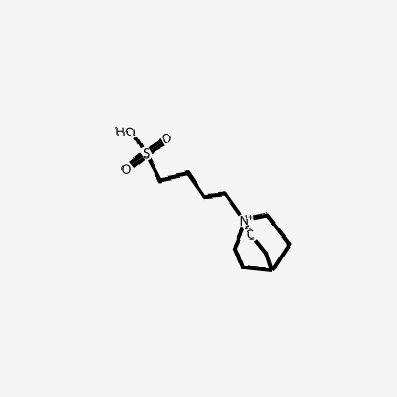 O=S(=O)(O)CCCC[N+]12CCC(CC1)CC2